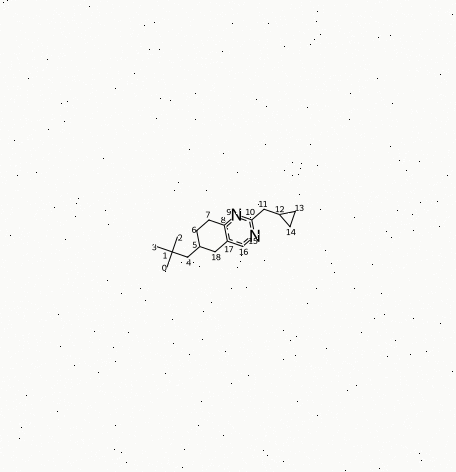 CC(C)(C)CC1CCc2nc(CC3CC3)ncc2C1